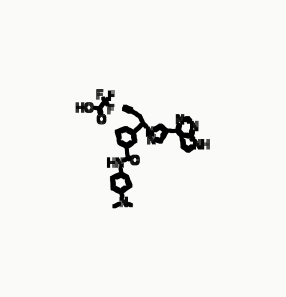 C#CCC(c1cccc(C(=O)Nc2ccc(N(C)C)cc2)c1)n1cc(-c2ncnc3[nH]ccc23)cn1.O=C(O)C(F)(F)F